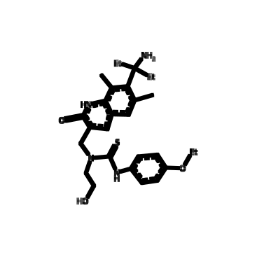 CCOc1ccc(NC(=S)N(CCO)Cc2cc3cc(C)c(C(N)(CC)CC)c(C)c3[nH]c2=O)cc1